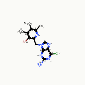 COc1c(C)nc(Cn2cnc3c(Cl)nc(N)nc32)c(Br)c1C